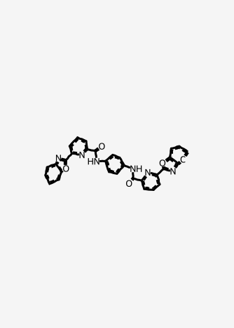 O=C(Nc1ccc(NC(=O)c2cccc(-c3nc4ccccc4o3)n2)cc1)c1cccc(-c2nc3ccccc3o2)n1